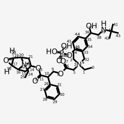 CC[N+](CC)(CC(=O)OCC(C(=O)OC1CC2[C@H]3O[C@H]3C(C1)[N+]2(C)CC)c1ccccc1)Cc1cc(C(O)CNC(C)(C)C)ccc1OP(=O)(O)O